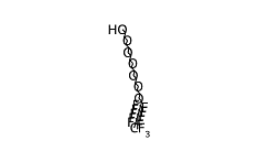 OCCOCCOCCOCCOCCOCCOCC(F)(F)C(F)(F)C(F)(F)C(F)(F)C(F)(F)C(F)(F)F